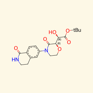 CC(C)(C)OC(=O)[C@H](O)[C@H]1OCCN(c2ccc3c(c2)CCNC3=O)C1=O